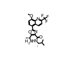 COc1ccc(-c2nc(C(=O)N[C@@H](C)C(C)C)c([C@H](C)N)o2)c2ccc(C(F)(F)F)nc12